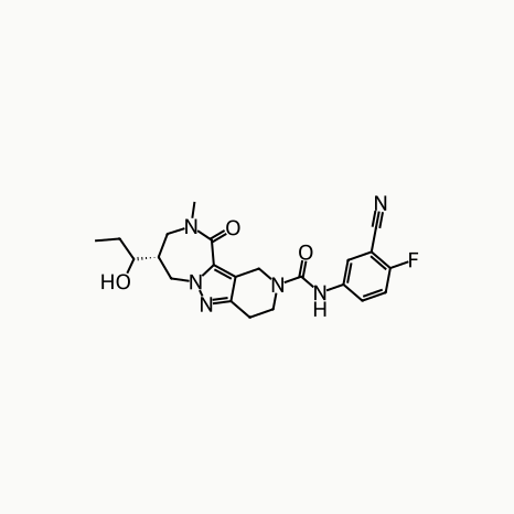 CCC(O)[C@@H]1CN(C)C(=O)c2c3c(nn2C1)CCN(C(=O)Nc1ccc(F)c(C#N)c1)C3